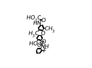 Cc1cc(NC(=O)C(=O)O)cc(C)c1Oc1ccc(O)c(S(=O)(=O)Nc2ccccc2F)c1